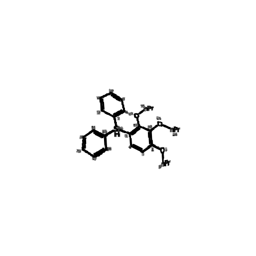 CCCOc1ccc([SiH](c2ccccc2)c2ccccc2)c(OCCC)c1OCCC